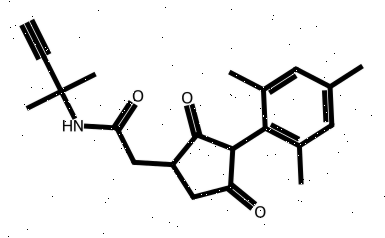 C#CC(C)(C)NC(=O)CC1CC(=O)C(c2c(C)cc(C)cc2C)C1=O